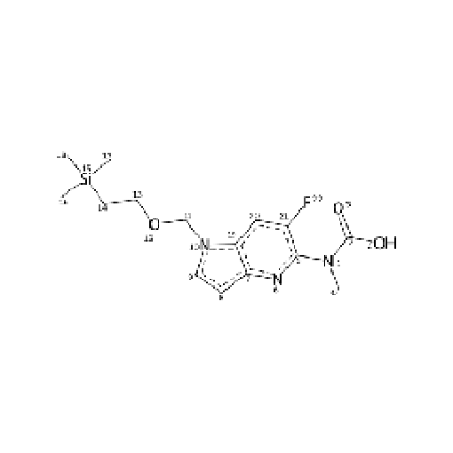 CN(C(=O)O)c1nc2ccn(COCC[Si](C)(C)C)c2cc1F